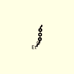 C=CCc1ccc([C@H]2CC[C@H](c3ccc(COCC=CCC)cc3)CC2)cc1